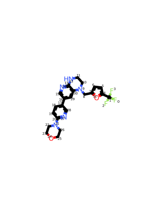 FC(F)(F)c1ccc(CN2CCNc3ncc(-c4ccc(N5CCOCC5)nc4)cc32)o1